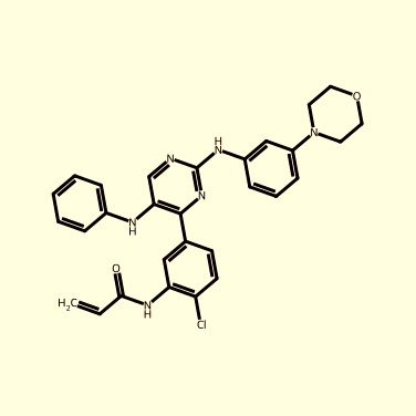 C=CC(=O)Nc1cc(-c2nc(Nc3cccc(N4CCOCC4)c3)ncc2Nc2ccccc2)ccc1Cl